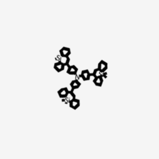 C[Si]1(C)c2ccccc2C=C(c2ccc(N(c3ccc(C4=Cc5ccccc5[Si](C)(C)c5ccccc54)cc3)c3ccc(C4=Cc5ccccc5[Si](C)(C)c5ccccc54)cc3)cc2)c2ccccc21